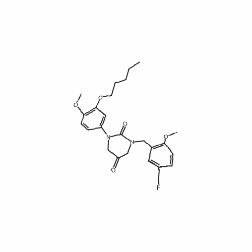 CCCCCOc1cc(N2CC(=O)CN(Cc3cc(F)ccc3OC)C2=O)ccc1OC